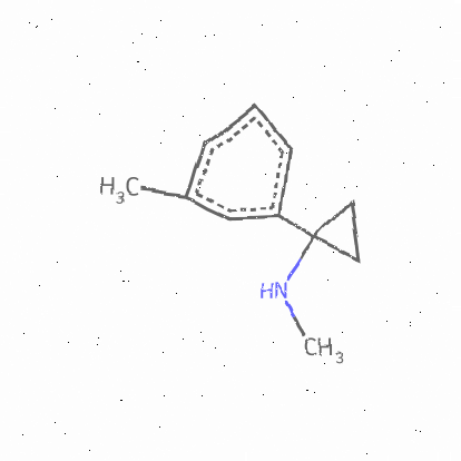 CNC1(c2cccc(C)c2)CC1